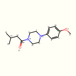 COc1ccc(N2CCN(C(=O)CC(C)C)CC2)cc1